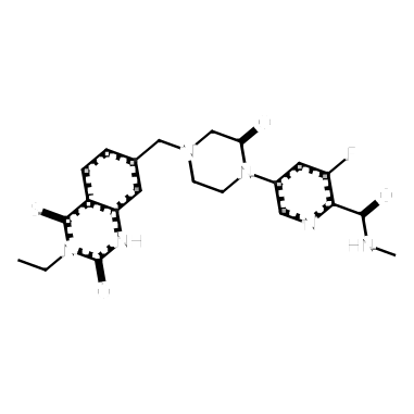 CCn1c(=O)[nH]c2cc(CN3CCN(c4cnc(C(=O)NC)c(F)c4)C(=O)C3)ccc2c1=S